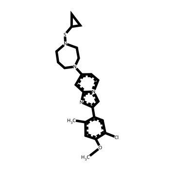 COc1cc(C)c(-c2cn3ccc(N4CCCN(SC5CC5)CC4)cc3n2)cc1Cl